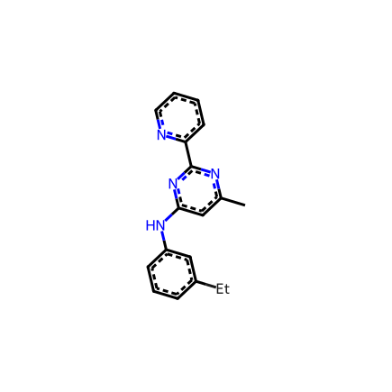 CCc1cccc(Nc2cc(C)nc(-c3ccccn3)n2)c1